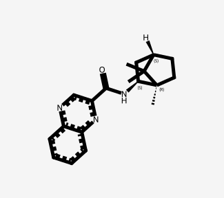 CC1(C)[C@H]2CC[C@@]1(C)[C@@H](NC(=O)c1cnc3ccccc3n1)C2